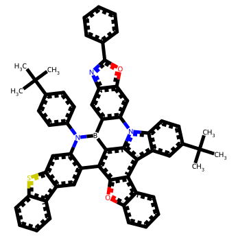 CC(C)(C)c1ccc(N2B3c4cc5nc(-c6ccccc6)oc5cc4-n4c5ccc(C(C)(C)C)cc5c5c6c(oc7ccccc76)c(c3c54)-c3cc4c(cc32)sc2ccccc24)cc1